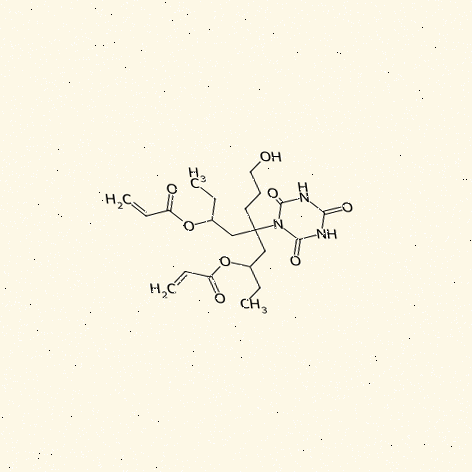 C=CC(=O)OC(CC)CC(CCCO)(CC(CC)OC(=O)C=C)n1c(=O)[nH]c(=O)[nH]c1=O